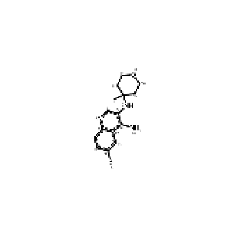 CC1(Nc2cnc3ccc(Br)cc3c2N)CCOCC1